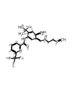 C#SCCN/C=C1/C=C(NC(=O)c2cccc(C(F)(F)F)n2)C(C(C)(C)O)=CC1=N